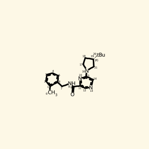 Cc1ccccc1CNC(=O)c1cncc(N2CC[C@H](C(C)(C)C)C2)n1